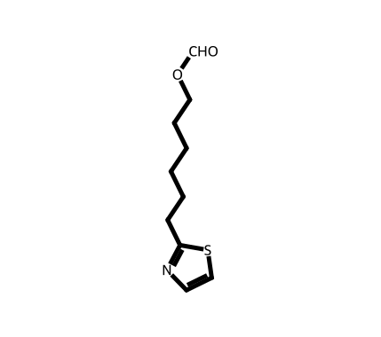 O=COCCCCCCc1nccs1